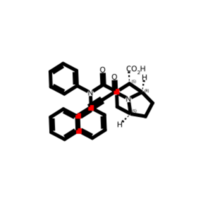 O=C(O)[C@@H]1[C@H]2CC[C@@H](CN1C(=O)N(c1ccccc1)c1ccccc1)N2C(=O)C#Cc1ccccc1